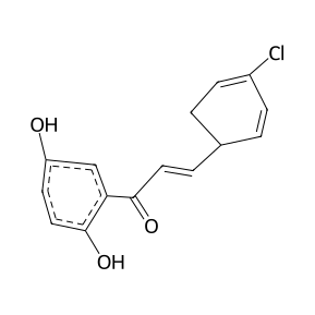 O=C(C=CC1C=CC(Cl)=CC1)c1cc(O)ccc1O